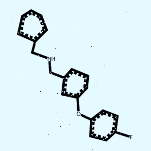 Fc1ccc(Oc2cccc(CNCc3ccccc3)c2)cc1